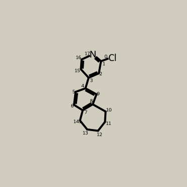 Clc1cc(-c2ccc3c(c2)CCCC[CH]3)ccn1